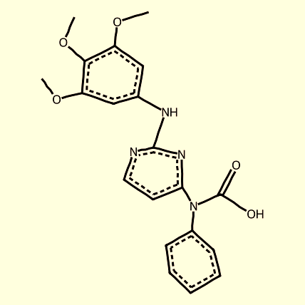 COc1cc(Nc2nccc(N(C(=O)O)c3ccccc3)n2)cc(OC)c1OC